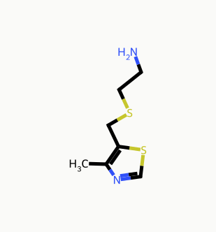 Cc1ncsc1CSCCN